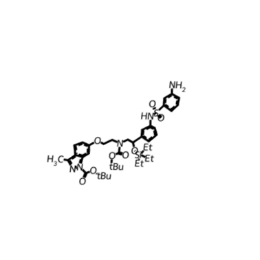 CC[Si](CC)(CC)OC(CN(CCOc1ccc2c(C)nn(C(=O)OC(C)(C)C)c2c1)C(=O)OC(C)(C)C)c1cccc(NS(=O)(=O)c2cccc(N)c2)c1